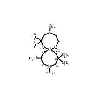 CCCCN1CC[O][Sn]2([O]C(C)CN(CCCC)CC(C)(C)[O]2)[O]C(C)(C)C1